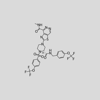 CNC(=O)c1nncc2sc(N3CCN(S(=O)(=O)c4ccc(OC(F)(F)F)cc4)[C@@H](C(=O)NCc4ccc(OC(F)(F)F)cc4)C3)nc12